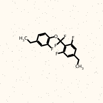 CCc1ccc(OC(F)(F)c2c(F)cc(CC)cc2F)c(F)c1